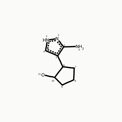 Nc1n[nH]cc1C1CCCC1[O]